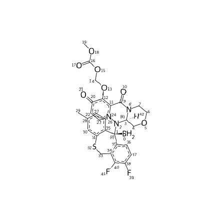 B[C@]1(N2[C@@H]3COCCN3C(=O)c3c(OCOC(=O)OC)c(=O)ccn32)c2ccc(C)cc2SCc2c1ccc(F)c2F